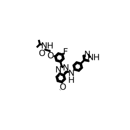 COc1ccc2nc(-c3cc(F)cc(OCC(=O)NC(C)C)c3)nc(Nc3ccc(-c4cn[nH]c4)cc3)c2c1